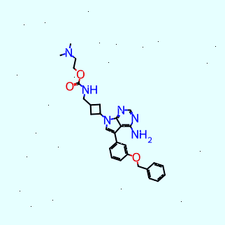 CN(C)CCOC(=O)NCC1CC(n2cc(-c3cccc(OCc4ccccc4)c3)c3c(N)ncnc32)C1